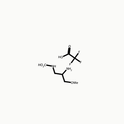 COCC(N)CNC(=O)O.O=C(O)C(F)(F)F